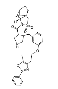 Cc1oc(-c2ccccc2)nc1CCOc1cccc(C[C@H]2CNC[C@H]2C(=O)N2[C@@H]3CC4CC[C@]3(CS2(=O)=O)C4(C)C)c1